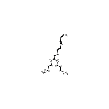 C=CC#C/C=C/CCC(OCCCC)OCCCC